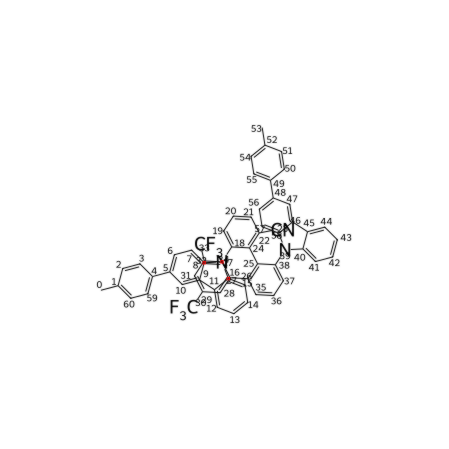 Cc1ccc(-c2ccc3c(c2)c2ccccc2n3-c2cccc(C#N)c2-c2c(-c3cc(C(F)(F)F)cc(C(F)(F)F)c3)cccc2-n2c3ccccc3c3cc(-c4ccc(C)cc4)ccc32)cc1